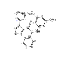 CN/C=C(\C=N)c1cscc1C(=O)C(Nc1cc(OC)cc(OC)c1)c1ccccc1